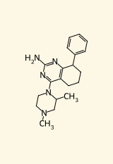 CC1CN(C)CCN1c1nc(N)nc2c1CCCC2c1ccccc1